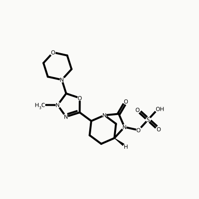 CN1N=C(C2CC[C@@H]3CN2C(=O)N3OS(=O)(=O)O)OC1N1CCOCC1